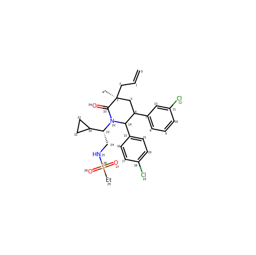 C=CC[C@@]1(C)CC(c2cccc(Cl)c2)C(c2ccc(Cl)cc2)N([C@H](CNS(=O)(=O)CC)C2CC2)C1=O